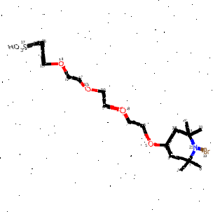 CC1(C)CC(OCCOCCOCCOCCS(=O)(=O)O)CC(C)(C)N1Br